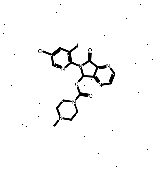 CN1CCN(C(=O)OC2c3nccnc3C(=O)N2c2ncc(Cl)cc2I)CC1